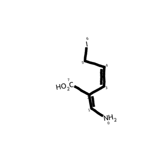 N/C=C(\C=C/CI)C(=O)O